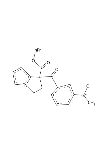 CCCOC(=O)C1(C(=O)c2cccc([S+](C)[O-])c2)CCn2cccc21